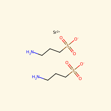 NCCCS(=O)(=O)[O-].NCCCS(=O)(=O)[O-].[Sr+2]